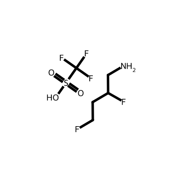 NCC(F)CCF.O=S(=O)(O)C(F)(F)F